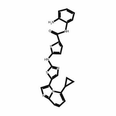 Nc1ccccc1NC(=O)c1ccc(Nc2ncc(-c3cnc4cccc(C5CC5)n34)s2)s1